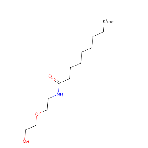 CCCCCCCCCCCCCCCCC(=O)NCCOCCO